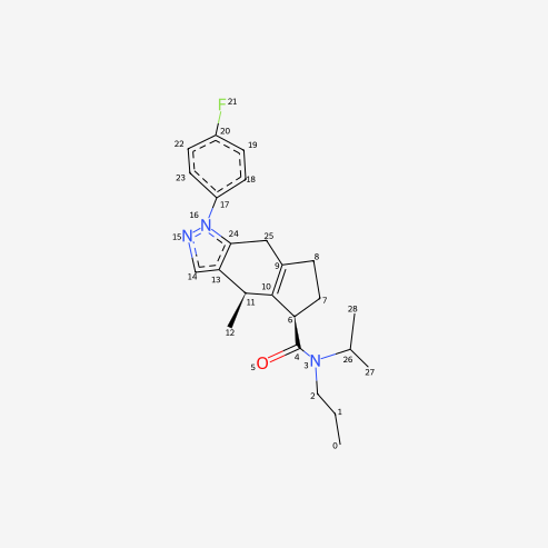 CCCN(C(=O)[C@@H]1CCC2=C1[C@@H](C)c1cnn(-c3ccc(F)cc3)c1C2)C(C)C